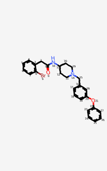 O=C(Cc1ccccc1Br)NC1CCN(Cc2cccc(Oc3ccccc3)c2)CC1